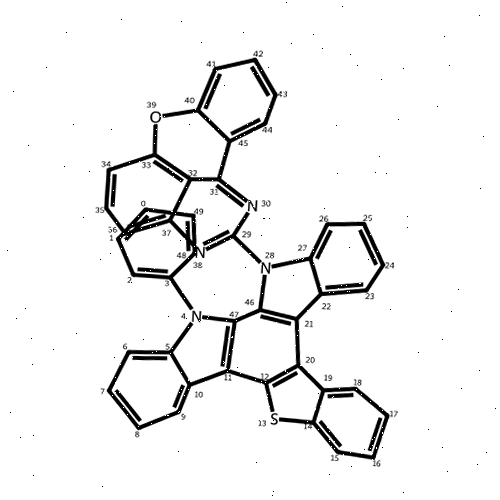 c1ccc(-n2c3ccccc3c3c4sc5ccccc5c4c4c5ccccc5n(-c5nc6c7c(cccc7n5)Oc5ccccc5-6)c4c32)cc1